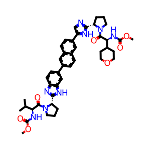 COC(=O)N[C@H](C(=O)N1CCC[C@H]1c1nc2ccc(-c3ccc4cc(-c5cnc([C@@H]6CCCN6C(=O)[C@@H](NC(=O)OC)C6CCOCC6)[nH]5)ccc4c3)cc2[nH]1)C(C)C